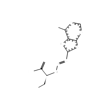 O=C(O)[C@H](CO)NN=Nc1nc2ncnc(O)c2[nH]1